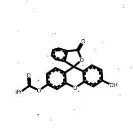 CC(C)C(=O)Oc1ccc2c(c1)Oc1cc(O)ccc1C21OC(=O)c2ccccc21